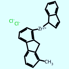 Cc1cccc2c1Cc1[c]([Zr+2][CH]3C=Cc4ccccc43)cccc1-2.[Cl-].[Cl-]